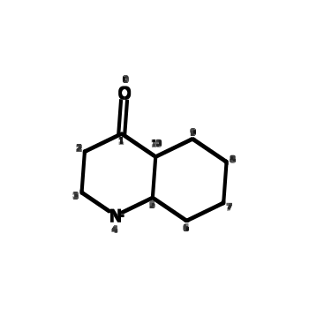 O=C1CC[N]C2CCCCC12